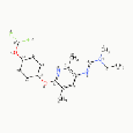 CCN(C)/C=N/c1cc(C)c(OC2CCC(OC(F)F)CC2)nc1C